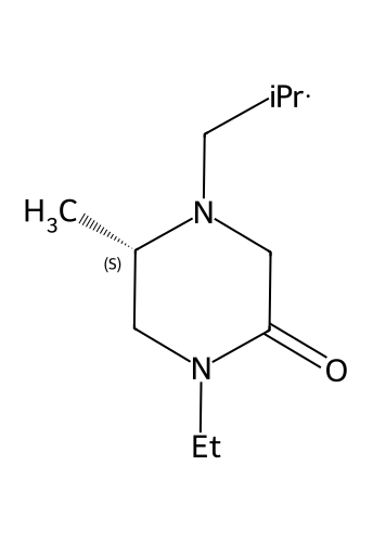 CCN1C[C@H](C)N(C[C](C)C)CC1=O